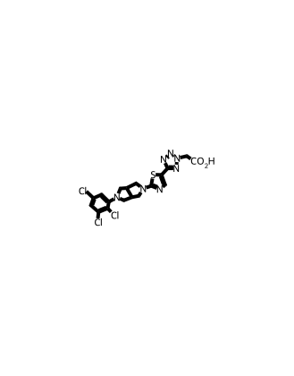 O=C(O)Cn1nnc(-c2cnc(N3CC4CN(c5cc(Cl)cc(Cl)c5Cl)CC4C3)s2)n1